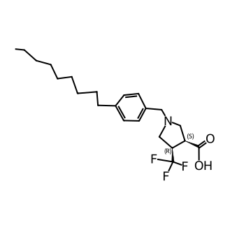 CCCCCCCCCc1ccc(CN2C[C@@H](C(=O)O)[C@@H](C(F)(F)F)C2)cc1